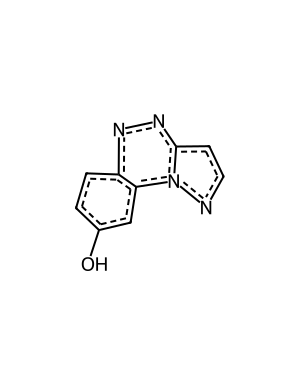 Oc1ccc2nnc3ccnn3c2c1